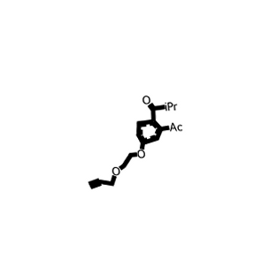 C#CCOCCOc1ccc(C(=O)C(C)C)c(C(C)=O)c1